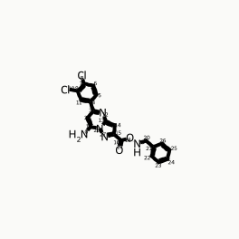 Nc1cc(-c2ccc(Cl)c(Cl)c2)nc2cc(C(=O)ONCc3ccccc3)nn12